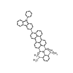 CC(C)c1cccc(C(C)C)c1N1C(=O)c2ccc3c4cccc5c(-c6ccc7c(c6)c6ccccc6n7-c6ccccc6)ccc(c6ccc(c2c36)C1=O)c54